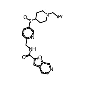 CC(C)CN1CCC([S+]([O-])c2ccc(CNC(=O)c3cc4ccncc4o3)nc2)CC1